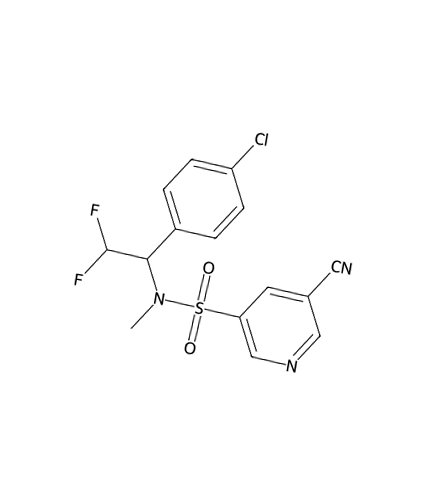 CN(C(c1ccc(Cl)cc1)C(F)F)S(=O)(=O)c1cncc(C#N)c1